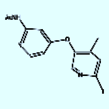 CC(=O)Nc1cc(Oc2cnc(I)cc2C)ccn1